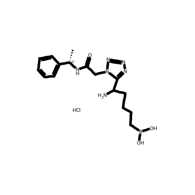 C[C@H](NC(=O)Cn1nnnc1C(N)CCCCB(O)O)c1ccccc1.Cl